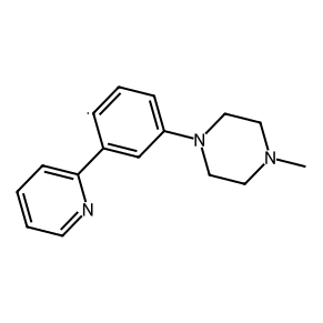 CN1CCN(c2cc[c]c(-c3ccccn3)c2)CC1